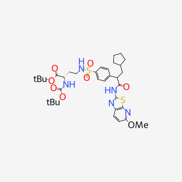 COc1ccc2nc(NC(=O)C(CC3CCCC3)c3ccc(S(=O)(=O)NCC[C@H](NC(=O)OC(C)(C)C)C(=O)OC(C)(C)C)cc3)sc2n1